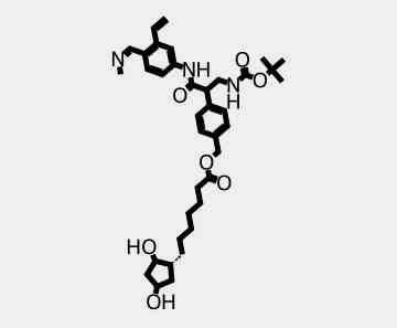 C=Cc1cc(NC(=O)C(CNC(=O)OC(C)(C)C)c2ccc(COC(=O)CCCCCC[C@@H]3CC(O)CC3O)cc2)ccc1/C=N\C